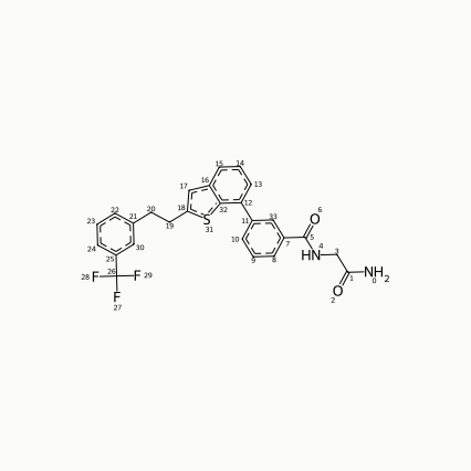 NC(=O)CNC(=O)c1cccc(-c2cccc3cc(CCc4cccc(C(F)(F)F)c4)sc23)c1